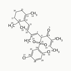 CC=C(C)C(=O)C(C=C(C)C=CC1=C(C)CCCC1(C)C)S(=O)(=O)c1cc(Cl)ccc1Cl